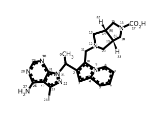 CC(c1cc2ccccn2c1CN1C[C@@H]2CN(C(=O)O)C[C@@H]2C1)n1nc(I)c2c(N)ncnc21